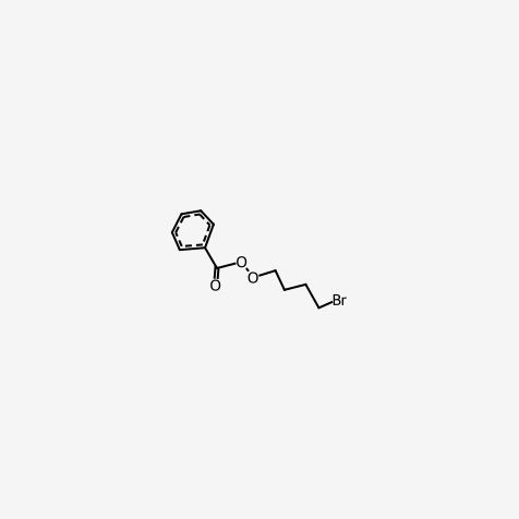 O=C(OOCCCCBr)c1ccccc1